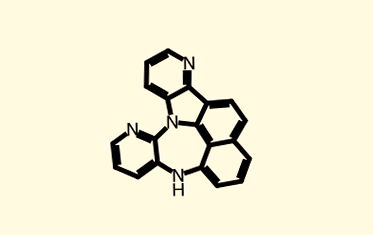 c1cc2ccc3c4ncccc4n4c5ncccc5[nH]c(c1)c2c34